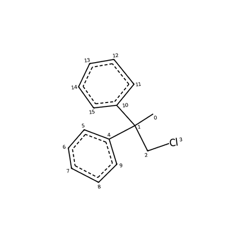 CC(CCl)(c1ccccc1)c1ccccc1